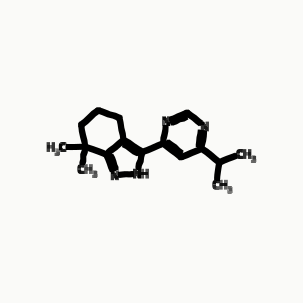 CC(C)c1cc(-c2[nH]nc3c2CCCC3(C)C)ncn1